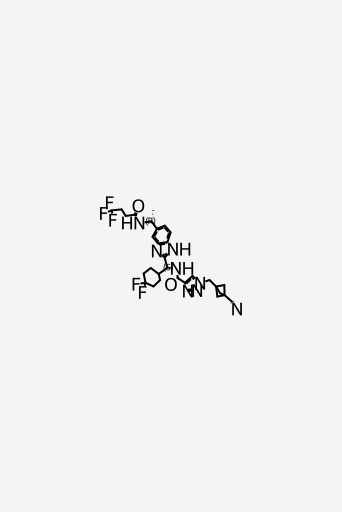 C[C@@H](NC(=O)CCC(F)(F)F)c1ccc2[nH]c([C@@H](NC(=O)c3cn(CC45CC(C#N)(C4)C5)nn3)C3CCC(F)(F)CC3)nc2c1